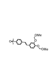 COCOc1ccc(C=Cc2ccc(P(C)(C)=O)cc2)cc1OCOC